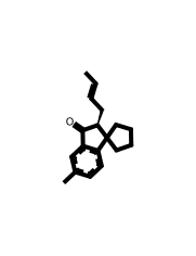 CC=CC[C@@H]1C(=O)c2cc(C)ccc2C12CCCC2